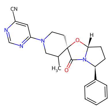 CC1CN(c2cc(C#N)ncn2)CC[C@@]12O[C@@H]1CC[C@@H](c3ccccc3)N1C2=O